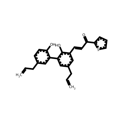 C=CCc1ccc(O)c(-c2cc(CC=C)cc(C=CC(=O)c3cccs3)c2O)c1